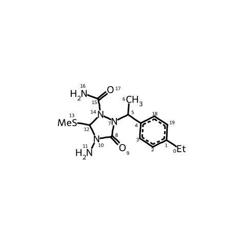 CCc1ccc(C(C)N2C(=O)N(N)C(SC)N2C(N)=O)cc1